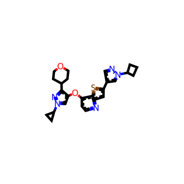 c1cc(Oc2cn(C3CC3)nc2C2CCOCC2)c2sc(-c3cnn(C4CCC4)c3)cc2n1